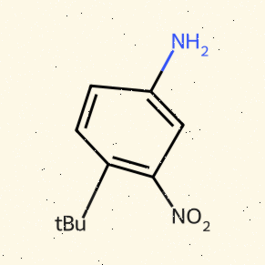 CC(C)(C)c1ccc(N)cc1[N+](=O)[O-]